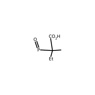 CCC(C)(P=O)C(=O)O